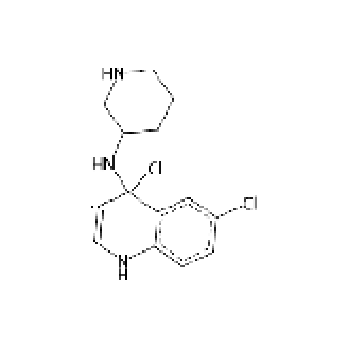 Clc1ccc2c(c1)C(Cl)(NC1CCCNC1)[C]=CN2